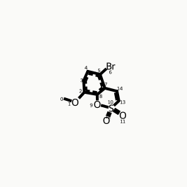 COc1ccc(Br)c2c1OS(=O)(=O)C=C2